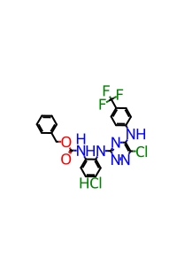 Cl.O=C(Nc1ccccc1Nc1nnc(Cl)c(Nc2ccc(C(F)(F)F)cc2)n1)OCc1ccccc1